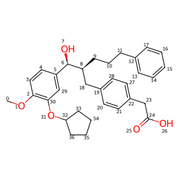 COc1ccc([C@@H](O)[C@@H](CCCc2ccccc2)Cc2ccc(CC(=O)O)cc2)cc1OC1CCCC1